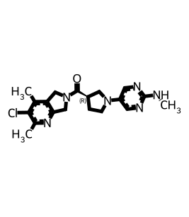 CNc1ncc(N2CC[C@@H](C(=O)N3Cc4nc(C)c(Cl)c(C)c4C3)C2)cn1